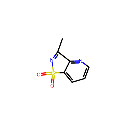 CC1=NS(=O)(=O)c2cccnc21